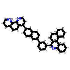 c1cc(-c2ccc3cc(-c4ccnc5c4ccc4cccnc45)ccc3c2)cc(-c2nc3ccccc3c3c2ccc2ccccc23)c1